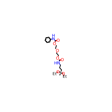 CCO[Si](C)(CCCNC(=O)OCCOCCOC(=O)Nc1ccccc1)OCC